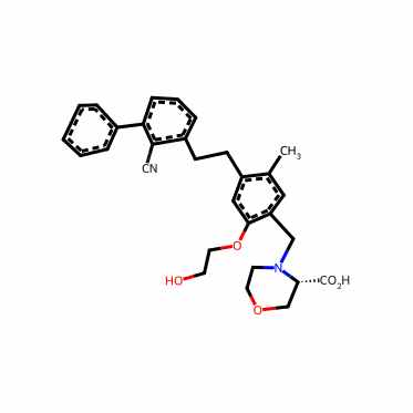 Cc1cc(CN2CCOC[C@H]2C(=O)O)c(OCCO)cc1CCc1cccc(-c2ccccc2)c1C#N